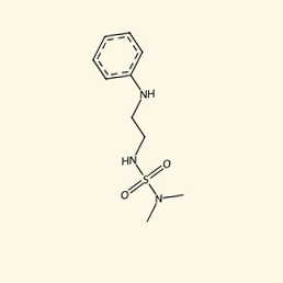 CN(C)S(=O)(=O)NCCNc1ccccc1